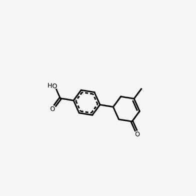 CC1=CC(=O)CC(c2ccc(C(=O)O)cc2)C1